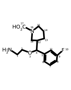 NCCOC(c1cccc(F)c1)C1CCCN(C(=O)O)C1